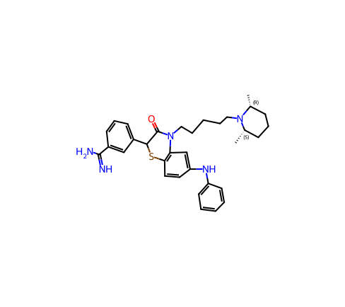 C[C@@H]1CCC[C@H](C)N1CCCCCN1C(=O)C(c2cccc(C(=N)N)c2)Sc2ccc(Nc3ccccc3)cc21